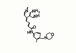 C=N\C=C/C(=C/C=C/C(=O)Nc1ccc(CN2CCOCC2)c(C)c1)C(/C=N)=C/N